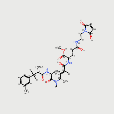 CN[C@H](C(=O)N[C@H](C(=O)N(C)[C@H](/C=C(\C)C(=O)N[C@H](CCC(=O)NCCN1C(=O)C=CC1=O)C(=O)OC(C)(C)C)C(C)C)C(C)(C)C)C(C)(C)c1cccc(C(F)(F)F)c1